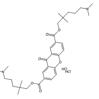 CN(C)CCCC(C)(C)COC(=O)c1ccc2oc3ccc(C(=O)OCC(C)(C)CCCN(C)C)cc3c(=O)c2c1.Cl.Cl